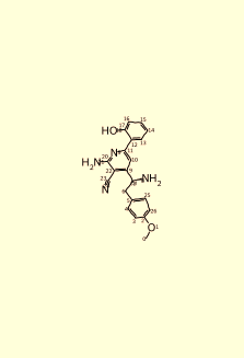 COc1ccc(C[C@H](N)c2cc(-c3ccccc3O)nc(N)c2C#N)cc1